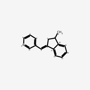 CC1CC(=Cc2cccnc2)c2ccccc21